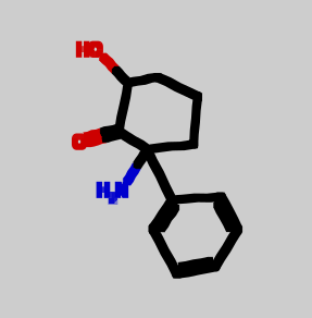 NC1(c2ccccc2)CCCC(O)C1=O